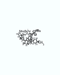 COc1ccc2c(c1)c(-c1cc3c(-c4cnc(C5(O)CCC5)s4)c(F)cnc3n1S(=O)(=O)c1ccc(C)cc1)cn2C(=O)OC(C)(C)C